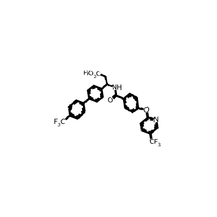 O=C(O)CC(NC(=O)c1ccc(Oc2ccc(C(F)(F)F)cn2)cc1)c1ccc(-c2ccc(C(F)(F)F)cc2)cc1